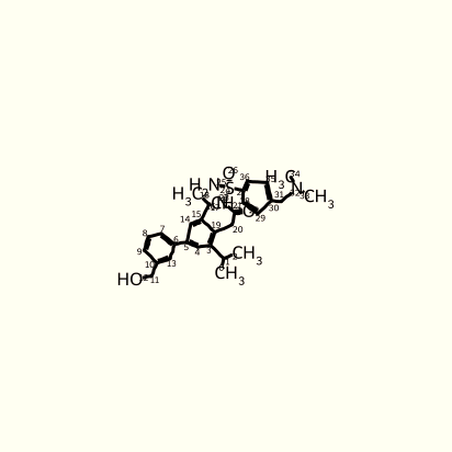 CC(C)c1cc(-c2cccc(CO)c2)cc(C(C)C)c1CC(=O)N=S(N)(=O)c1ccc(CN(C)C)cc1